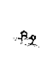 CC(C)C1=[C]([Mo][C]2=C(C(C)C)C=CC2)CC=C1